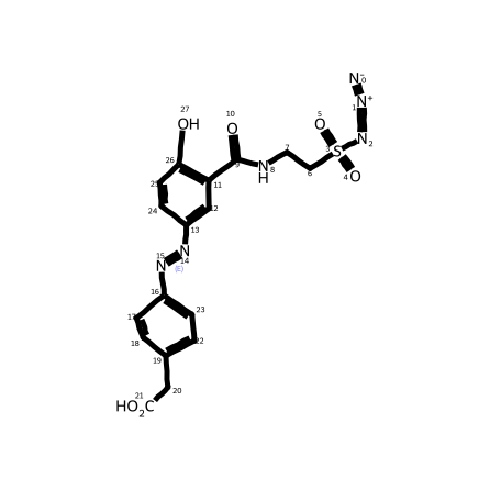 [N-]=[N+]=NS(=O)(=O)CCNC(=O)c1cc(/N=N/c2ccc(CC(=O)O)cc2)ccc1O